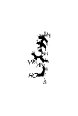 CC(=N)/C(BOC(C)(C)C(C)(C)S)=C(/C)NC[C@H](C)O